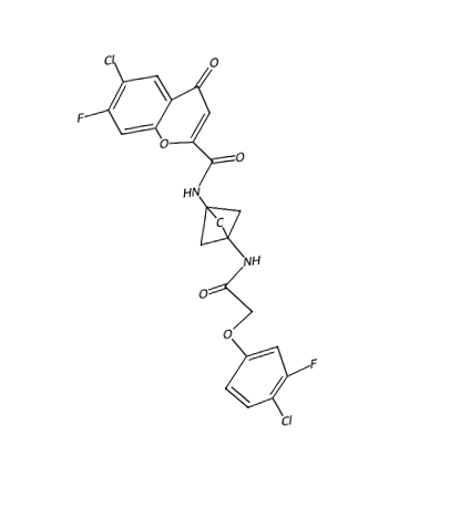 O=C(COc1ccc(Cl)c(F)c1)NC12CC(NC(=O)c3cc(=O)c4cc(Cl)c(F)cc4o3)(C1)C2